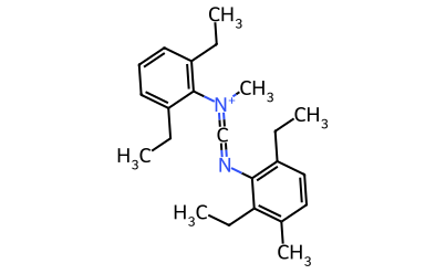 CCc1ccc(C)c(CC)c1N=C=[N+](C)c1c(CC)cccc1CC